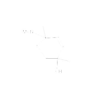 CNC1(C)C=CC(C)(C(C)C)CC1